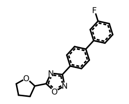 Fc1cccc(-c2ccc(-c3noc(C4CCCO4)n3)cc2)c1